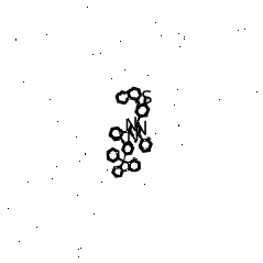 c1ccc(-c2nc(-c3ccc4sc5ccc6ccccc6c5c4c3)nc(-c3ccccc3-c3cccc(C4(c5ccccc5)c5ccccc5-c5ccccc54)c3)n2)cc1